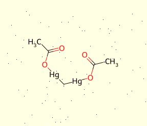 CC(=O)[O][Hg][CH][Hg][O]C(C)=O